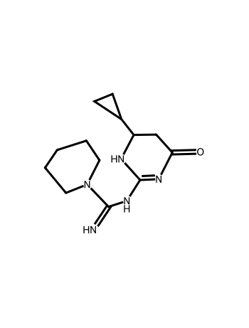 N=C(NC1=NC(=O)CC(C2CC2)N1)N1CCCCC1